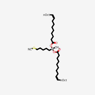 CCCCCCCC/C=C\CCCCCCCC(=O)O[Si](C)(CCCCCSC#N)OC(=O)CCCCCCC/C=C\CCCCCCCC